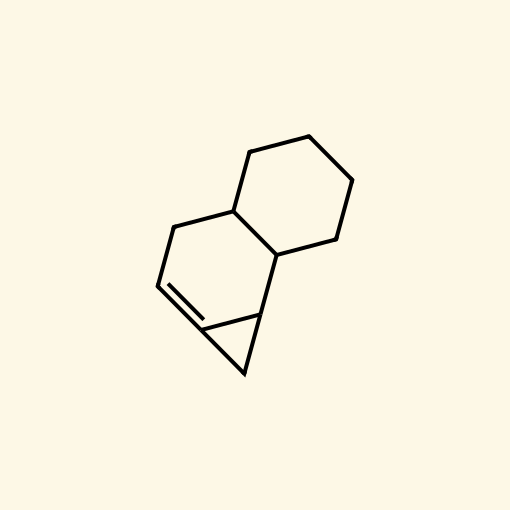 C1=C2CC2C2CCCCC2C1